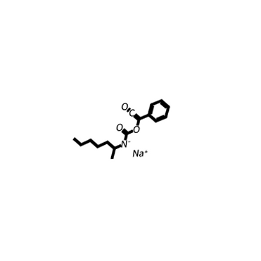 CCCCCC(C)[N-]C(=O)OC(=C=O)c1ccccc1.[Na+]